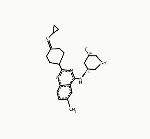 Cc1ccc2nc(C3CCC(=NC4CC4)CC3)nc(N[C@@H]3CNC[C@@H](F)C3)c2c1